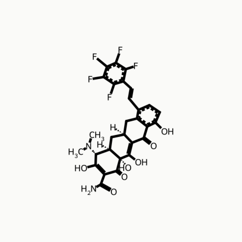 CN(C)[C@H]1C(O)=C(C(N)=O)C(=O)[C@]2(O)C(O)=C3C(=O)c4c(O)ccc(/C=C/c5c(F)c(F)c(F)c(F)c5F)c4C[C@@H]3C[C@H]12